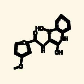 COc1cccc(C(=O)NC2=C(O)Nc3ccccc3N2O)c1